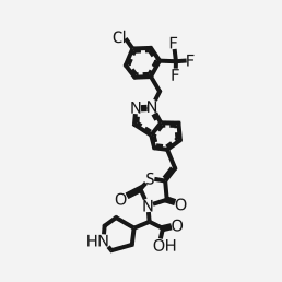 O=C(O)C(C1CCNCC1)N1C(=O)SC(=Cc2ccc3c(cnn3Cc3ccc(Cl)cc3C(F)(F)F)c2)C1=O